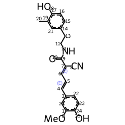 COc1cc(/C=C/C=C(\C#N)C(=O)NCCc2ccc(O)c(C)c2)ccc1O